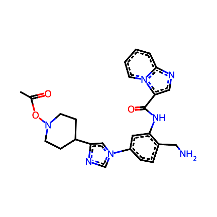 CC(=O)ON1CCC(c2cn(-c3ccc(CN)c(NC(=O)c4cnc5ccccn45)c3)cn2)CC1